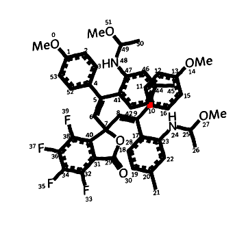 COc1ccc(C(=CC2(C=C(c3ccc(OC)cc3)c3ccc(C)cc3NC(C)OC)OC(=O)c3c(F)c(F)c(F)c(F)c32)c2ccc(C)cc2NC(C)OC)cc1